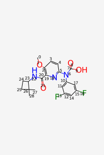 COc1ccc(N(C(=O)O)c2cc(F)cc(F)c2)nc1C(=O)NC1CCC1(C)C